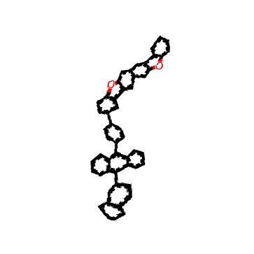 c1ccc2cc(-c3c4ccccc4c(-c4ccc(-c5ccc6oc7cc8cc9c(cc8cc7c6c5)oc5ccccc59)cc4)c4ccccc34)ccc2c1